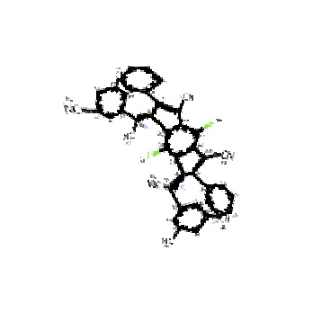 N#CC1=C(c2ccccc2)/C(=C(/C#N)c2cc(C#N)cc(C#N)c2)c2c(F)c3c(c(F)c21)C(C#N)=C(c1ccccc1)/C3=C(/C#N)c1cc(C#N)cc(C#N)c1